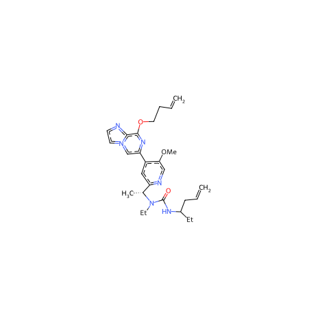 C=CCCOc1nc(-c2cc([C@@H](C)N(CC)C(=O)NC(CC)CC=C)ncc2OC)cn2ccnc12